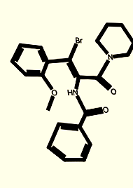 COc1ccccc1C(Br)=C(NC(=O)c1ccccc1)C(=O)N1CCCCC1